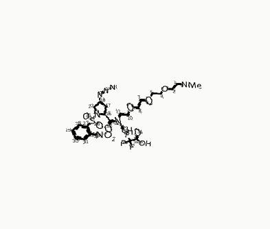 CNCCOCCOCCOCCN(C)C(=O)[C@@H]1C[C@H](N=[N+]=[N-])CN1S(=O)(=O)c1ccccc1[N+](=O)[O-].O=C(O)C(F)(F)F